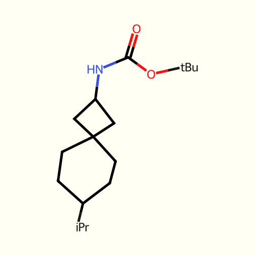 CC(C)C1CCC2(CC1)CC(NC(=O)OC(C)(C)C)C2